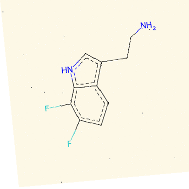 NCCc1c[nH]c2c(F)c(F)ccc12